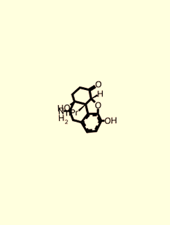 CCC[C@]12c3c4ccc(O)c3O[C@H]1C(=O)CC[C@@]2(O)[C@H](N)C4